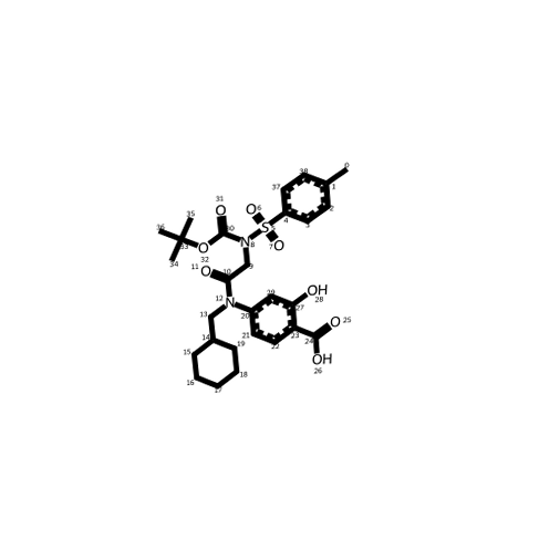 Cc1ccc(S(=O)(=O)N(CC(=O)N(CC2CCCCC2)c2ccc(C(=O)O)c(O)c2)C(=O)OC(C)(C)C)cc1